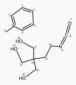 Cc1ccccc1.O=C=NCCC(CO)(CO)CO